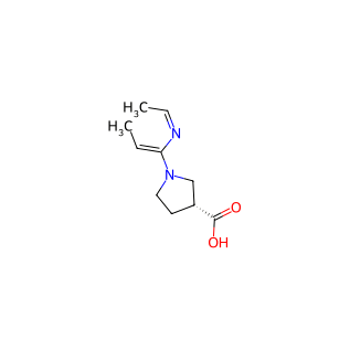 C/C=N\C(=C/C)N1CC[C@@H](C(=O)O)C1